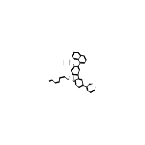 C=C/C=C\C=C/Cn1c2ccc(-c3cccnc3)cc2c2cc3c(cc21)Nc1cccc2cccc-3c12